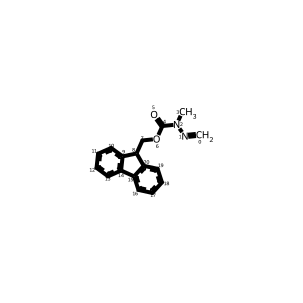 C=NN(C)C(=O)OCC1c2ccccc2-c2ccccc21